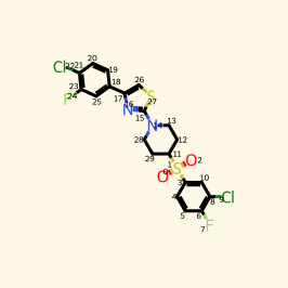 O=S(=O)(c1ccc(F)c(Cl)c1)C1CCN(c2nc(-c3ccc(Cl)c(F)c3)cs2)CC1